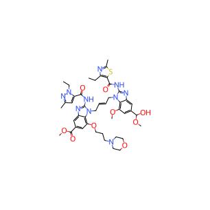 CCc1nc(C)sc1C(=O)Nc1nc2cc(C(O)OC)cc(OC)c2n1C/C=C/Cn1c(NC(=O)c2cc(C)nn2CC)nc2cc(C(=O)OC)cc(OCCCN3CCOCC3)c21